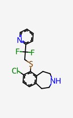 FC(F)(CSc1c(Cl)ccc2c1CCNCC2)c1ccccn1